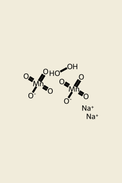 OO.[Na+].[Na+].[O]=[Mn](=[O])(=[O])[O-].[O]=[Mn](=[O])(=[O])[O-]